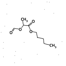 CCCCCOC(=O)C(C)OC=O